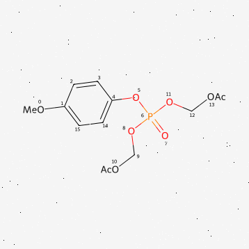 COc1ccc(OP(=O)(OCOC(C)=O)OCOC(C)=O)cc1